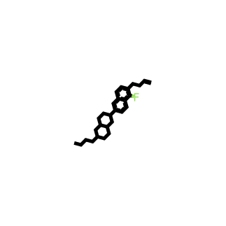 C=CCCc1ccc2cc(C3CCC4CC(CCCC)CCC4C3)ccc2c1F